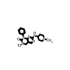 CCN1Cc2cnc(NC3CCN(C)CC3)nc2N(c2ccccc2)C1=O